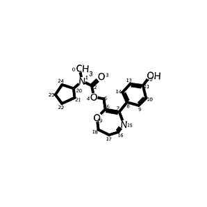 CN(C(=O)OCC1=C(c2ccc(O)cc2)N=CCCO1)C1CCCC1